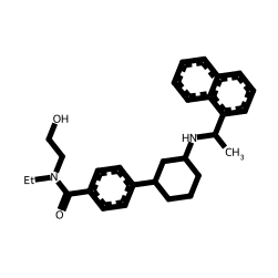 CCN(CCO)C(=O)c1ccc(C2CCCC(NC(C)c3cccc4ccccc34)C2)cc1